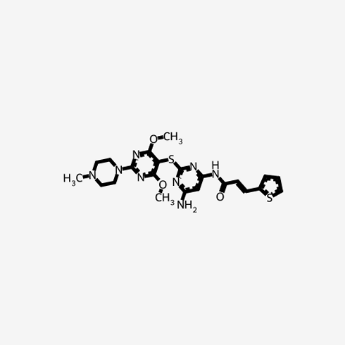 COc1nc(N2CCN(C)CC2)nc(OC)c1Sc1nc(N)cc(NC(=O)/C=C/c2cccs2)n1